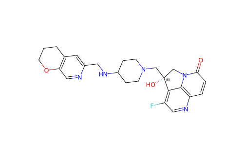 O=c1ccc2ncc(F)c3c2n1C[C@]3(O)CN1CCC(NCc2cc3c(cn2)OCCC3)CC1